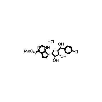 CO/N=c1\nc[nH]c2c1ccn2[C@@H]1C[C@H]([C@H](O)c2ccc(Cl)cc2)[C@@H](O)[C@H]1O.Cl